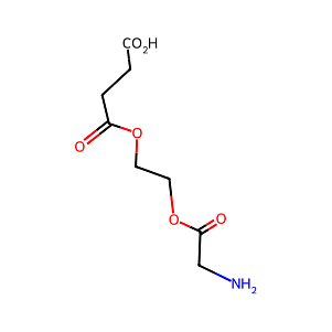 NCC(=O)OCCOC(=O)CCC(=O)O